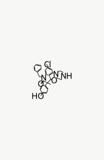 CC1(c2ccc(O)cc2)C(=O)c2c(N3CCNCC3)cc(Cl)cc2N(Cc2ccccc2)C1=O